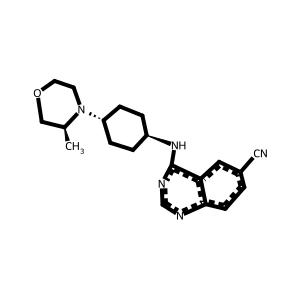 C[C@H]1COCCN1[C@H]1CC[C@H](Nc2ncnc3ccc(C#N)cc23)CC1